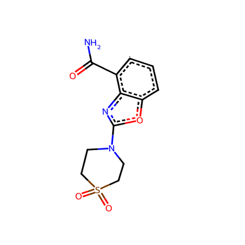 NC(=O)c1[c]ccc2oc(N3CCS(=O)(=O)CC3)nc12